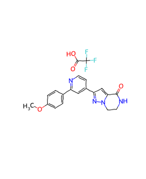 COc1ccc(-c2cc(-c3cc4n(n3)CCNC4=O)ccn2)cc1.O=C(O)C(F)(F)F